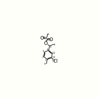 Cc1ccc(C(C)OS(C)(=O)=O)cc1Cl